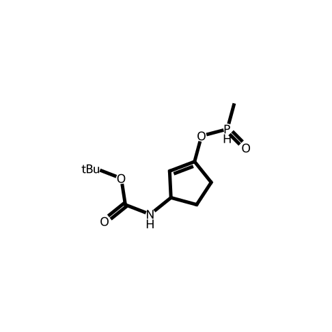 C[PH](=O)OC1=CC(NC(=O)OC(C)(C)C)CC1